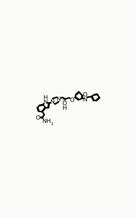 NC(=O)Cc1cccc2[nH]c(N3CCN(C[C@@H](O)COc4ccc5oc(-c6ccccc6)nc5c4)CC3)cc12